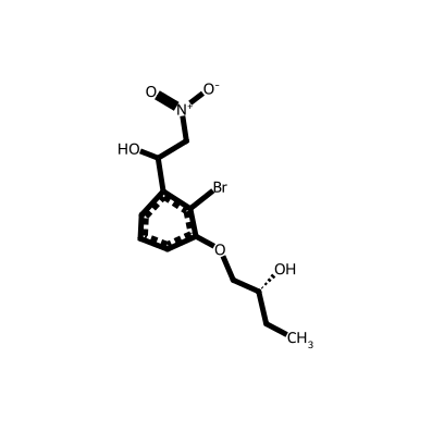 CC[C@@H](O)COc1cccc(C(O)C[N+](=O)[O-])c1Br